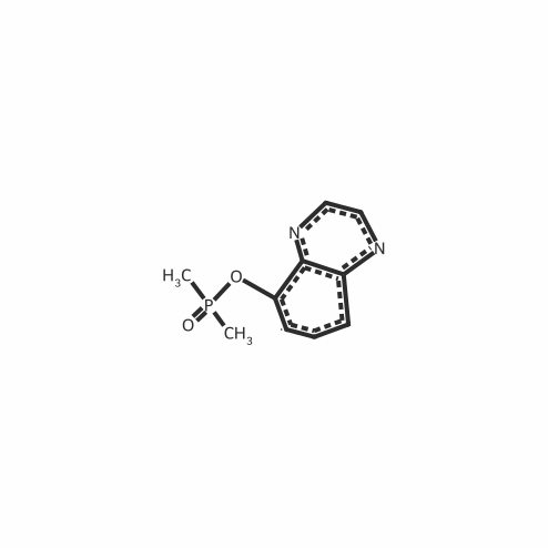 CP(C)(=O)Oc1[c]ccc2nccnc12